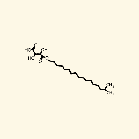 CC(C)CCCCCCCCCCCCCCCOC(=O)C(O)C(O)C(=O)O